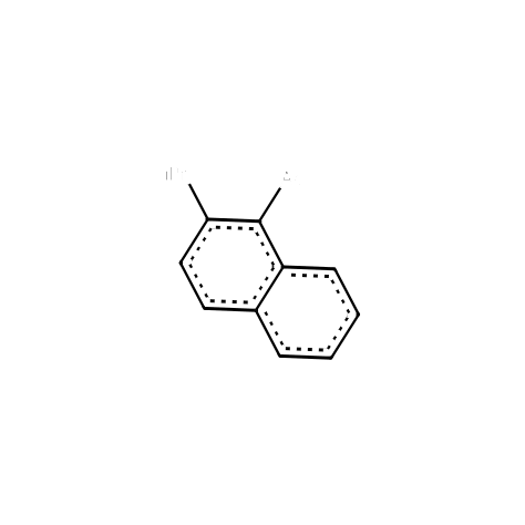 CC(=O)c1c(C(C)C)ccc2ccccc12